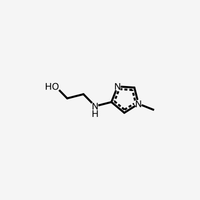 Cn1cnc(NCCO)c1